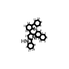 C1CCC2CC(N3C4CCCCC4C4CCCC(C5CNC6C(C5)NC5CCCCC56)C43)CCC2C1